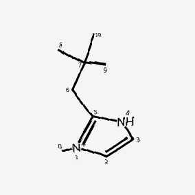 C[n+]1cc[nH]c1CC(C)(C)C